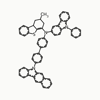 CC1CC(N(c2ccc(-c3ccc(-n4c5ccccc5c5cc6ccccc6cc54)cc3)cc2)c2ccc3c(c2)c2ccccc2n3-c2ccccc2)=C2Sc3ccccc3C2C1